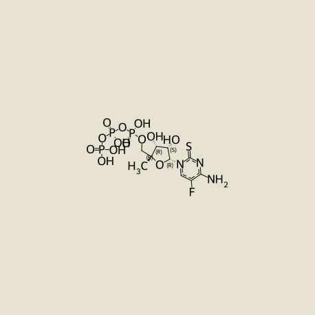 C[C@]1(COP(=O)(O)OP(=O)(O)OP(=O)(O)O)O[C@@H](n2cc(F)c(N)nc2=S)[C@@H](O)[C@H]1O